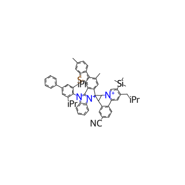 Cc1ccc2c(c1)sc1c3c(cc(C)c12)C1(C2c4cc(C#N)ccc4-c4cc(CC(C)C)c([Si](C)(C)C)c[n+]4C21)[n+]1c-3n(-c2c(C(C)C)cc(-c3ccccc3)cc2C(C)C)c2ccccc21